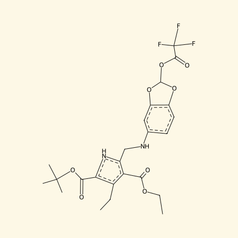 CCOC(=O)c1c(CNc2ccc3c(c2)OC(OC(=O)C(F)(F)F)O3)[nH]c(C(=O)OC(C)(C)C)c1CC